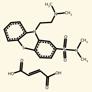 CN(C)CCN1c2ccccc2Sc2ccc(S(=O)(=O)N(C)C)cc21.O=C(O)C=CC(=O)O